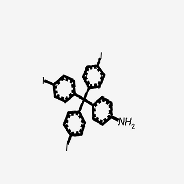 Nc1ccc(C(c2ccc(I)cc2)(c2ccc(I)cc2)c2ccc(I)cc2)cc1